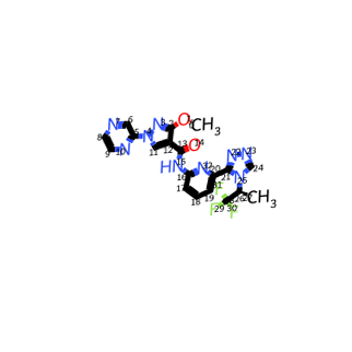 COc1nn(-c2cnccn2)cc1C(=O)Nc1cccc(-c2nncn2[C@@H](C)C(F)(F)F)n1